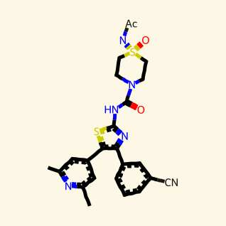 CC(=O)N=S1(=O)CCN(C(=O)Nc2nc(-c3cccc(C#N)c3)c(-c3cc(C)nc(C)c3)s2)CC1